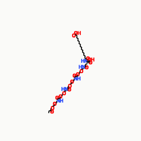 CCC(=O)COCCOCCNC(=O)COCCOCCNC(=O)COCCOCCNC(=O)COCCOCCNC(=O)CC[C@H](NC(=O)CCCCCCCCCCCCCCCCC(=O)O)C(=O)O